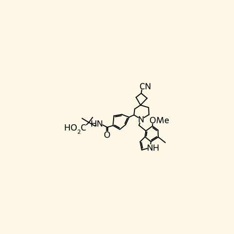 COc1cc(C)c2[nH]ccc2c1CN1CCC2(CC(C#N)C2)CC1c1ccc(C(=O)NCC(C)(C)C(=O)O)cc1